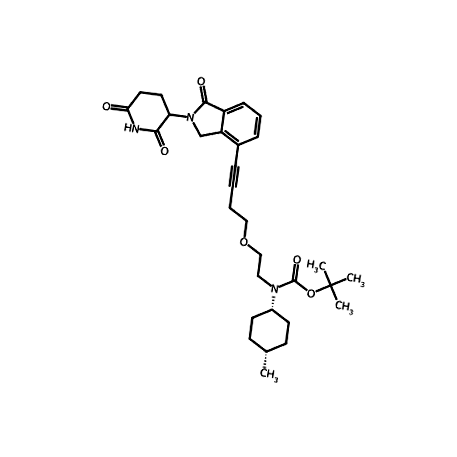 CC(C)(C)OC(=O)N(CCOCCC#Cc1cccc2c1CN(C1CCC(=O)NC1=O)C2=O)[C@H]1CC[C@@H](C)CC1